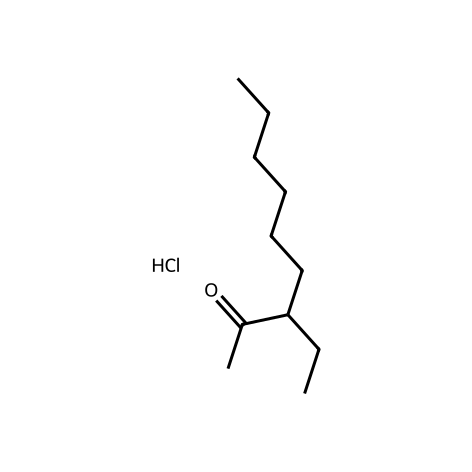 CCCCCCC(CC)C(C)=O.Cl